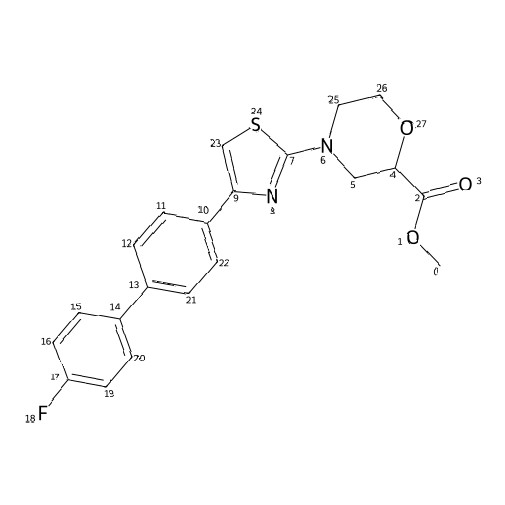 COC(=O)C1CN(c2nc(-c3ccc(-c4ccc(F)cc4)cc3)cs2)CCO1